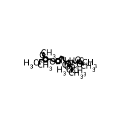 COc1cc(COc2ccc3c(c2)CCN3C(=O)CN(CCC(=O)OC(C)(C)C)C(=O)OC(C)(C)C)ccc1CC(C)C